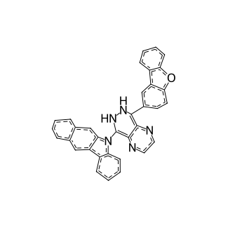 c1ccc2cc3c(cc2c1)c1ccccc1n3C1=c2nccnc2=C(c2ccc3oc4ccccc4c3c2)NN1